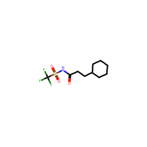 O=C(CCC1CCCCC1)NS(=O)(=O)C(F)(F)F